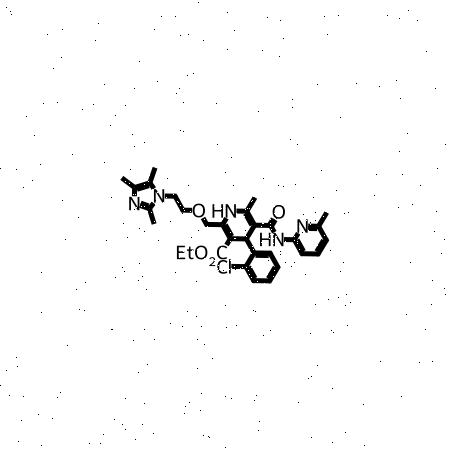 CCOC(=O)C1=C(COCCn2c(C)nc(C)c2C)NC(C)=C(C(=O)Nc2cccc(C)n2)C1c1ccccc1Cl